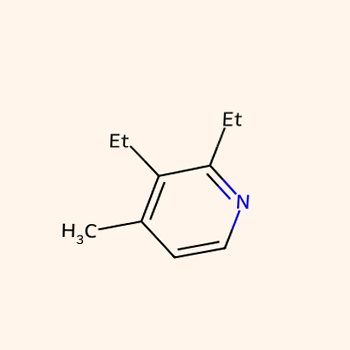 CCc1nccc(C)c1CC